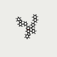 c1cc(-c2cccc(N(c3ccc(-c4ccc5ccccc5c4)cc3)c3ccccc3-c3cccc4c3oc3ccccc34)c2)cc(-c2cccc3c2sc2ccccc23)c1